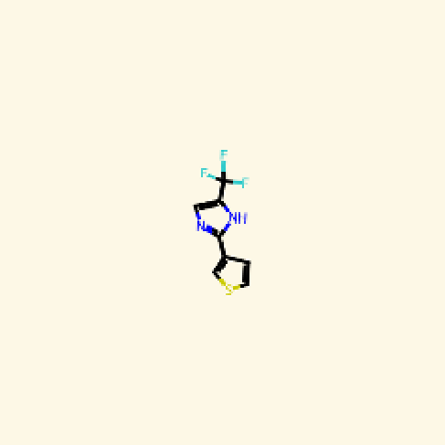 FC(F)(F)c1cnc(-c2ccsc2)[nH]1